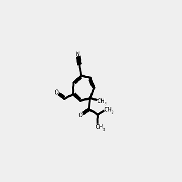 CC(C)C(=O)C1(C)C=CC(C#N)=CC(C=O)=C1